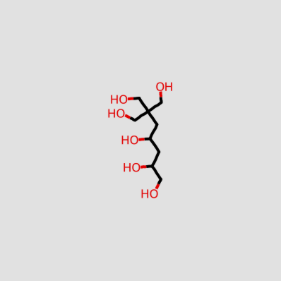 OCC(O)CC(O)CC(CO)(CO)CO